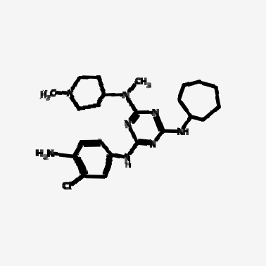 CN1CCC(N(C)c2nc(Nc3ccc(N)c(Cl)c3)nc(NC3CCCCCC3)n2)CC1